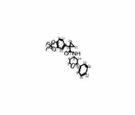 O=C(N[C@H]1CCO[C@@H](c2ccccc2)C1)C1(c2ccc3c(c2)OC(F)(F)O3)CC1